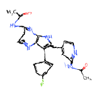 CC(=O)Nc1cc(-c2[nH]c3nc(NC(C)=O)cnc3c2-c2ccc(F)cc2)ccn1